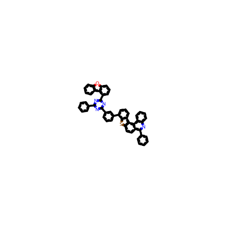 c1ccc(-c2nc(-c3cccc(-c4cccc5c4sc4ccc6c(-c7ccccc7)nc7ccccc7c6c45)c3)nc(-c3cccc4oc5ccccc5c34)n2)cc1